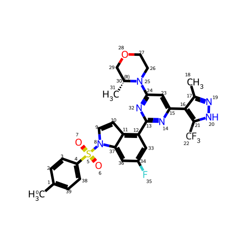 Cc1ccc(S(=O)(=O)n2ccc3c(-c4nc(-c5c(C)n[nH]c5C(F)(F)F)cc(N5CCOC[C@H]5C)n4)cc(F)cc32)cc1